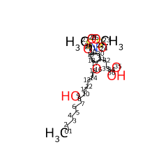 CCCCCCCCC(O)CCCC/C=C/Oc1ccc(N(S(C)(=O)=O)S(C)(=O)=O)cc1CCC(=O)O